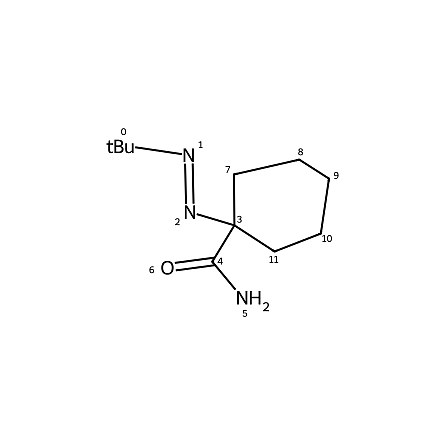 CC(C)(C)/N=N/C1(C(N)=O)CCCCC1